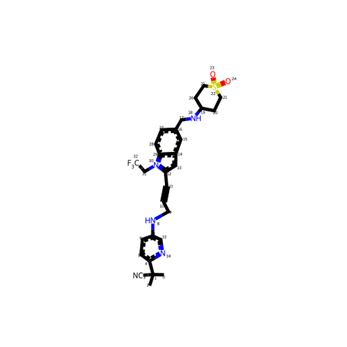 CC(C)(C#N)c1ccc(NCC#Cc2cc3cc(CNC4CCS(=O)(=O)CC4)ccc3n2CC(F)(F)F)cn1